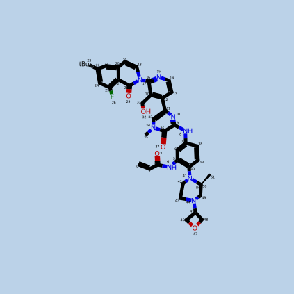 C=CC(=O)Nc1cc(Nc2nc(-c3ccnc(-n4ccc5cc(C(C)(C)C)cc(F)c5c4=O)c3CO)cn(C)c2=O)ccc1N1CCN(C2COC2)C[C@@H]1C